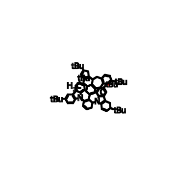 CC1C2=C(CC(C(C)(C)C)=C2)C2Cc3ccc(C(C)(C)C)cc3C(=O)C3=C2C1CC(C1=C(n2c4ccc(C(C)(C)C)cc4c4cc(C(C)(C)C)ccc42)C=CCC1n1c2c(c4cc(C(C)(C)C)ccc41)CC(C(C)(C)C)C=C2)=C3